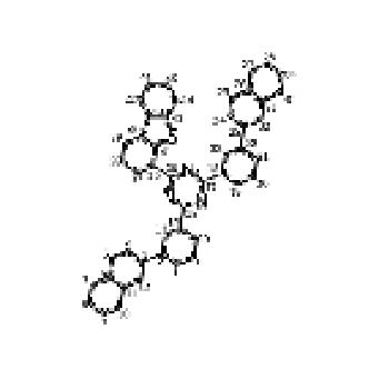 c1cc(-c2ccc3ccccc3c2)cc(-c2nc(-c3cccc(-c4ccc5ccccc5c4)c3)nc(-c3cccc4c3sc3ccccc34)n2)c1